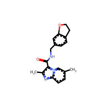 Cc1ccc2nc(C)c(C(=O)NCc3ccc4c(c3)OCC4)n2c1